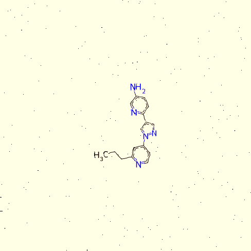 CCCc1cc(-n2cc(-c3ccc(N)cn3)cn2)ccn1